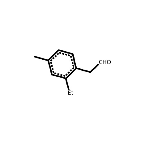 CCc1cc(C)ccc1CC=O